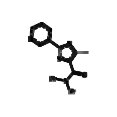 Cc1nc(-c2cccnc2)sc1C(=O)N(C(C)C)C(C)C